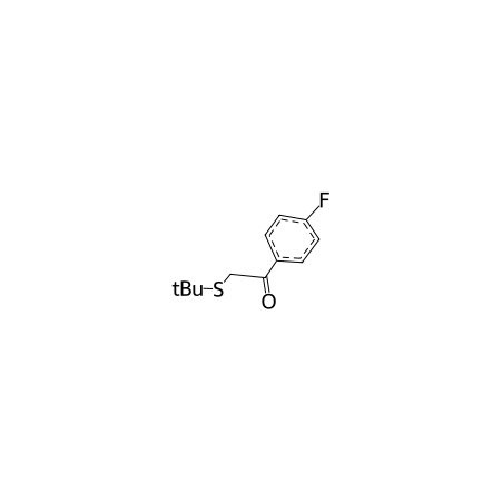 CC(C)(C)SCC(=O)c1ccc(F)cc1